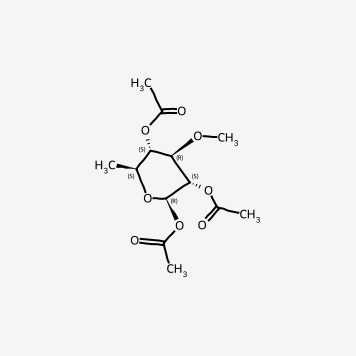 CO[C@H]1[C@H](OC(C)=O)[C@@H](OC(C)=O)O[C@@H](C)[C@@H]1OC(C)=O